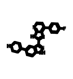 Fc1ccc(-c2ccnc3[nH]c(-c4n[nH]c5ccc(C6=CCNCC6)cc45)nc23)cc1